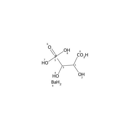 O=C(O)C(O)C(O)P(=O)(O)O.[BaH2]